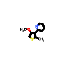 COc1csc(C)c1-c1ccccn1